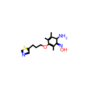 CC1=C(OCCCc2cncs2)C(C)=C(C)C(N)C1=NO